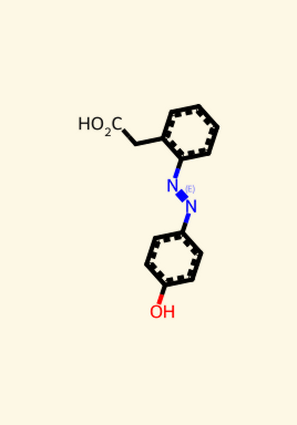 O=C(O)Cc1ccccc1/N=N/c1ccc(O)cc1